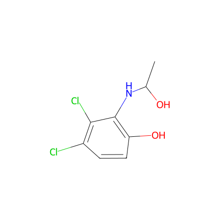 CC(O)Nc1c(O)ccc(Cl)c1Cl